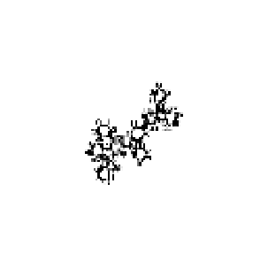 c1ccc(-c2nc(-n3c4ccccc4c4cc(-c5ccc6c(c5)c5ccccc5n6-c5ccccc5)ccc43)nc3c2c2ccccc2n2c4ccccc4nc32)cc1